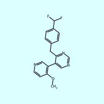 COc1ccncc1-c1cncnc1Cc1ccc(C(F)F)cc1